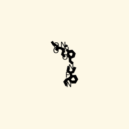 CCOC(=O)c1ncn2c1COc1c(CCN3CCC(F)(c4cccc5ncccc45)CC3)cccc1-2